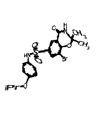 CC(C)Oc1ccc(NS(=O)(=O)c2cc(Br)c3c(c2)C(=O)NC(C)(C)O3)cc1